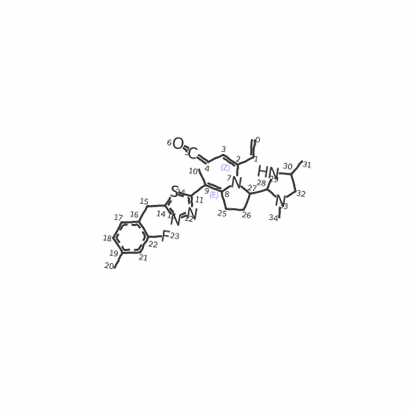 C=C/C(=C/C=C=O)N1/C(=C(\C)c2nnc(Cc3ccc(C)cc3F)s2)CCC1C1NC(C)CN1C